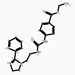 CCOC(=O)c1ccc(NC(=O)NCCN2CCN=C2c2ccccn2)cc1